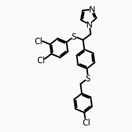 Clc1ccc(CSc2ccc(C(Cn3ccnc3)Sc3ccc(Cl)c(Cl)c3)cc2)cc1